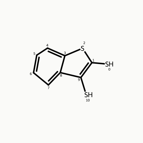 Sc1sc2ccccc2c1S